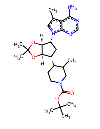 Cc1cn([C@@H]2C[C@H](C3CCN(C(=O)OC(C)(C)C)CC3C)[C@H]3OC(C)(C)O[C@H]32)c2ncnc(N)c12